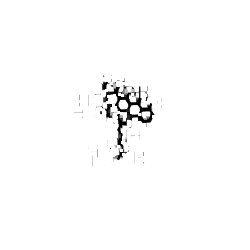 CC1c2cccc(O)c2C(=O)C2=C(O)C3(O)C(=O)C(C(N)=O)=C(O)C(N(C)C)C3C(OC(=O)CNC(=O)OC(C)(C)C)C21